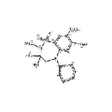 CCCCC1(CCCC)CN(c2ccccc2)c2cc(SC)c(C(=O)OCC)cc2S(=O)(=O)N1OC